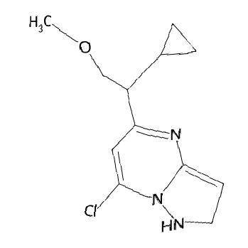 COCC(C1=NC2=CCNN2C(Cl)=C1)C1CC1